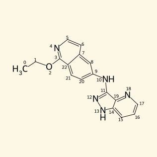 CCOc1nccc2cc(Nc3n[nH]c4cccnc34)ccc12